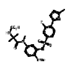 COc1ccc(N(C)C(=O)C(C)(C)NC(=O)O)cc1NS(=O)(=O)c1ccc(-c2ccc(C)o2)c(F)c1